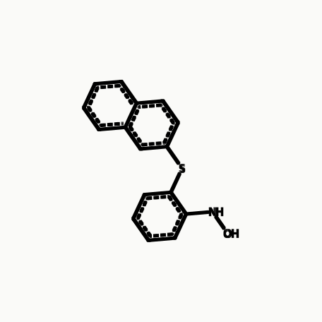 ONc1ccccc1Sc1ccc2ccccc2c1